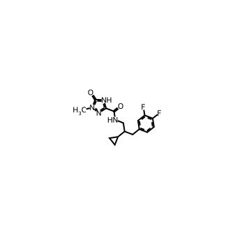 Cn1nc(C(=O)NCC(Cc2ccc(F)c(F)c2)C2CC2)[nH]c1=O